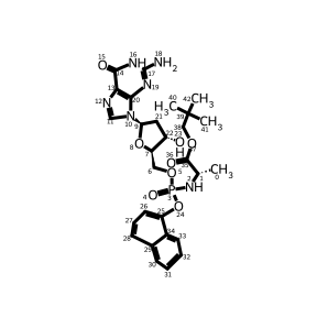 C[C@H](NP(=O)(OC[C@H]1O[C@@H](n2cnc3c(=O)[nH]c(N)nc32)C[C@@H]1O)Oc1cccc2ccccc12)C(=O)OCC(C)(C)C